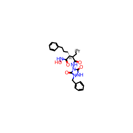 CC(C)CC(C(=O)Nn1c(=O)[nH]n(Cc2ccccc2)c1=O)[C@@H](CCCc1ccccc1)C(=O)NO